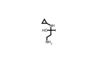 NCCC(O)(I)NC1CC1